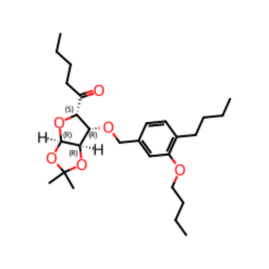 CCCCOc1cc(CO[C@@H]2[C@H]3OC(C)(C)O[C@H]3O[C@@H]2C(=O)CCCC)ccc1CCCC